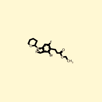 CCOC(=O)CCc1c(F)cc2c(cnn2C2CCCCO2)c1Br